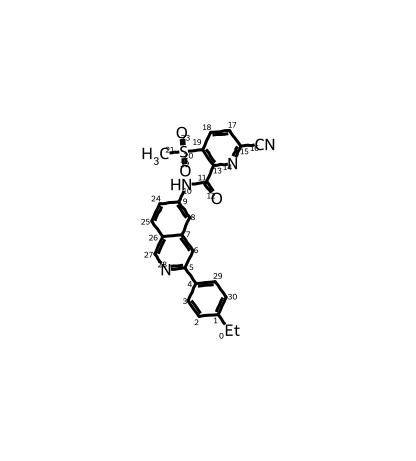 CCc1ccc(-c2cc3cc(NC(=O)c4nc(C#N)ccc4S(C)(=O)=O)ccc3cn2)cc1